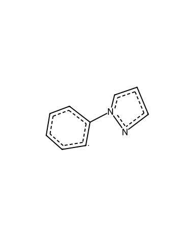 [c]1ccccc1-n1cccn1